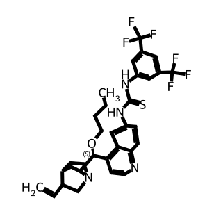 C=CC1CN2CCC1CC2[C@@H](OCCCC)c1ccnc2ccc(NC(=S)Nc3cc(C(F)(F)F)cc(C(F)(F)F)c3)cc12